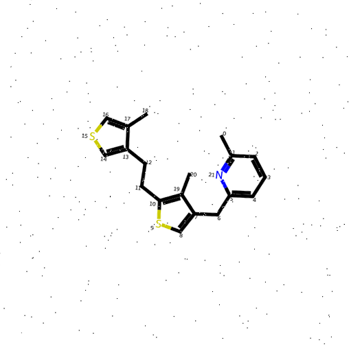 Cc1cccc(Cc2csc(CCc3cscc3C)c2C)n1